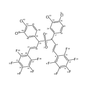 O=S(=O)(C(C=Cc1c(F)c(F)c(F)c(F)c1F)c1ccc(Cl)c(Cl)c1)C(C=Cc1c(F)c(F)c(F)c(F)c1F)c1ccc(Cl)c(Cl)c1